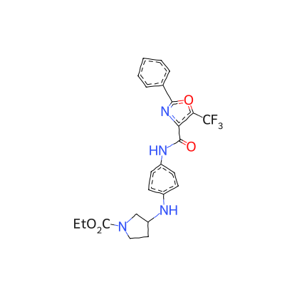 CCOC(=O)N1CCC(Nc2ccc(NC(=O)c3nc(-c4ccccc4)oc3C(F)(F)F)cc2)C1